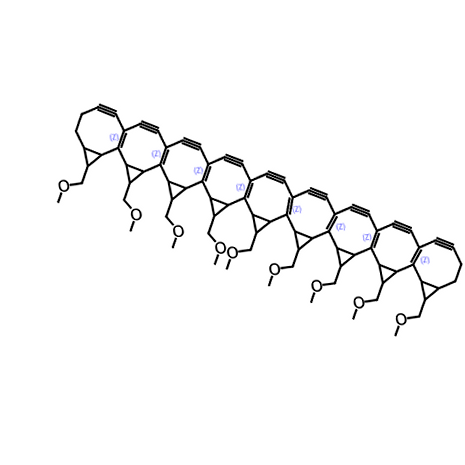 COCC1C2CCC#C/C3=C(\C21)C1C(COC)C1/C1=C(\C#C3)C#C/C2=C(\C3C(COC)C13)C1C(COC)C1/C1=C(\C#C2)C#C/C2=C(/C3C(COC)C3/C3=C(/C#C/C4=C(/C5C(COC)C5/C5=C(/C#CCCC6C(COC)C56)C#C4)C4C(COC)C34)C#C2)C2C(COC)C12